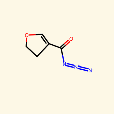 [N-]=[N+]=NC(=O)C1=COCC1